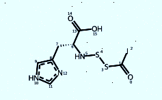 O=C(I)SSN[C@H](Cc1c[nH]cn1)C(=O)O